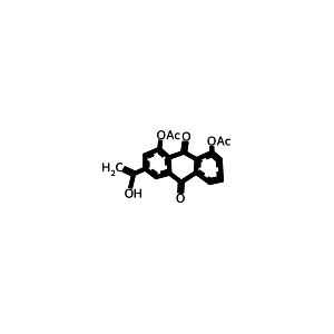 C=C(O)c1cc(OC(C)=O)c2c(c1)C(=O)c1cccc(OC(C)=O)c1C2=O